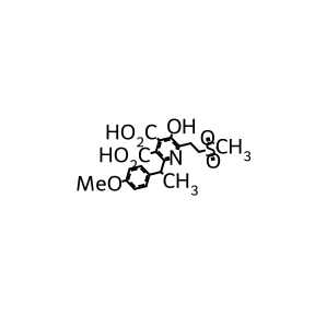 COc1ccc(C(C)c2nc(CCS(C)(=O)=O)c(O)c(C(=O)O)c2C(=O)O)cc1